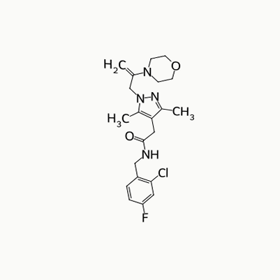 C=C(Cn1nc(C)c(CC(=O)NCc2ccc(F)cc2Cl)c1C)N1CCOCC1